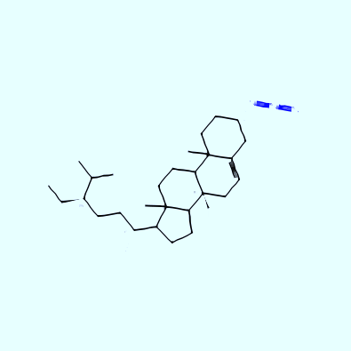 CC[C@H](CC[C@@H](C)C1CCC2[C@H]3CC=C4C[C@@H](N=[N+]=[N-])CCC4(C)C3CCC21C)C(C)C